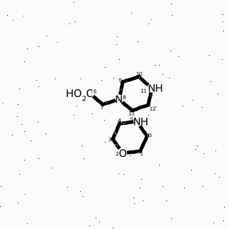 C1COCCN1.O=C(O)CN1CCNCC1